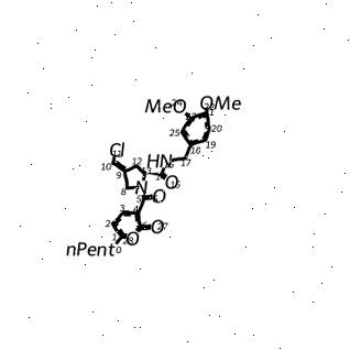 CCCCCc1ccc(C(=O)N2C/C(=C/Cl)C[C@H]2C(=O)NCc2ccc(OC)c(OC)c2)c(=O)o1